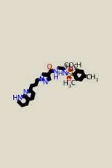 Cc1cc(C)c(S(=O)(=O)NC(CNC(=O)c2cnn(CCCc3ccc4c(n3)NCCC4)c2)C(=O)O)c(C)c1